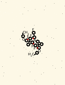 C=Cc1ccc(Oc2ccc(C3(c4cc(F)c(F)c(F)c4F)c4ccccc4-c4ccc(N(c5ccc(-c6ccc(F)cc6)cc5)c5ccc6c(c5)C(c5ccc(Oc7ccc(C=C)cc7)cc5)(c5cc(F)c(F)c(F)c5F)c5ccccc5-6)cc43)cc2)cc1